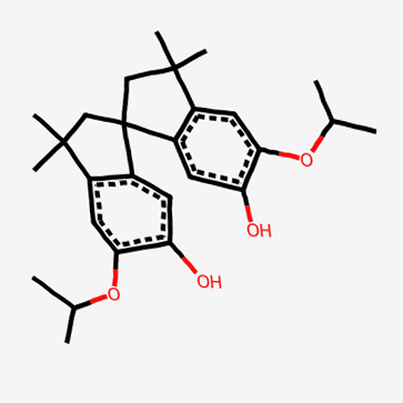 CC(C)Oc1cc2c(cc1O)C1(CC2(C)C)CC(C)(C)c2cc(OC(C)C)c(O)cc21